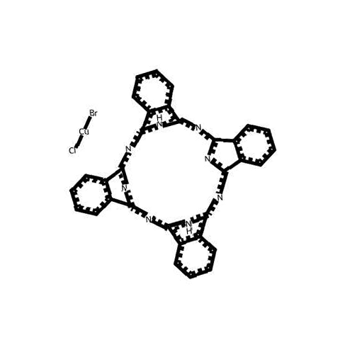 [Cl][Cu][Br].c1ccc2c(c1)-c1nc-2nc2[nH]c(nc3nc(nc4[nH]c(n1)c1ccccc41)-c1ccccc1-3)c1ccccc21